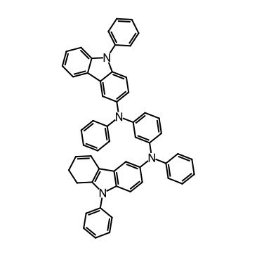 C1=Cc2c(n(-c3ccccc3)c3ccc(N(c4ccccc4)c4cccc(N(c5ccccc5)c5ccc6c(c5)c5ccccc5n6-c5ccccc5)c4)cc23)CC1